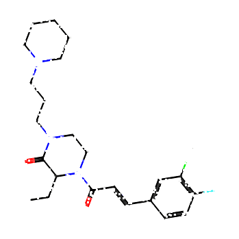 CCC1C(=O)N(CCCN2CCCCC2)CCN1C(=O)/C=C/c1ccc(F)c(Cl)c1